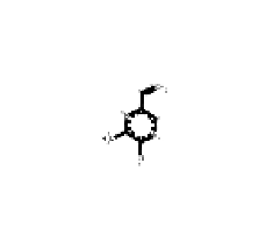 C=Cc1cnc(Cl)c(N)n1